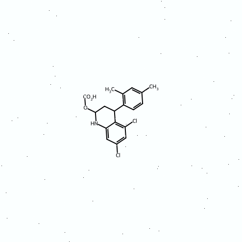 Cc1ccc(C2CC(OC(=O)O)Nc3cc(Cl)cc(Cl)c32)c(C)c1